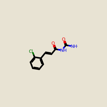 [NH]C(=O)NC(=O)C=Cc1ccccc1Cl